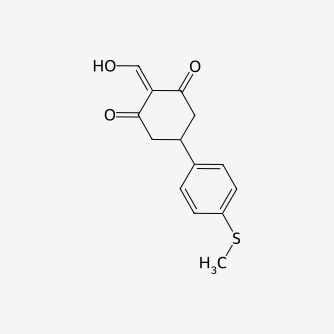 CSc1ccc(C2CC(=O)C(=CO)C(=O)C2)cc1